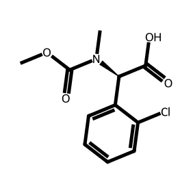 COC(=O)N(C)[C@@H](C(=O)O)c1ccccc1Cl